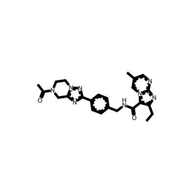 CCc1nc2ncc(C)cn2c1C(=O)NCc1ccc(-c2nc3n(n2)CCN(C(C)=O)C3)cc1